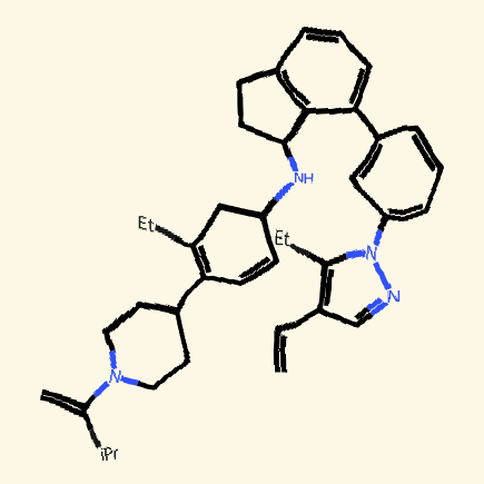 C=Cc1cnn(-c2cccc(-c3cccc4c3C(NC3C=CC(C5CCN(C(=C)C(C)C)CC5)=C(CC)C3)CC4)c2)c1CC